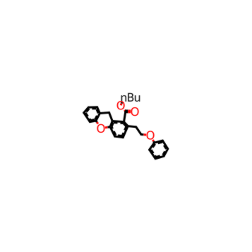 CCCCOC(=O)c1c(CCOc2ccccc2)ccc2c1Cc1ccccc1O2